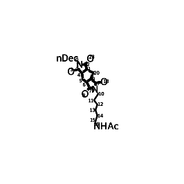 CCCCCCCCCCn1c(=O)c2cc3c(=O)n(CCCCCCNC(C)=O)c(=O)c3cc2c1=O